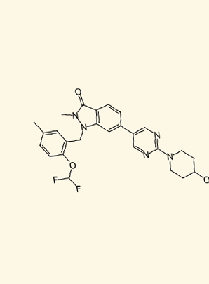 Cc1ccc(OC(F)F)c(Cn2c3cc(-c4cnc(N5CCC(O)CC5)nc4)ccc3c(=O)n2C)c1